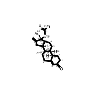 C=C1C[C@H]2[C@@H]3CCC4=CC(=O)CC[C@@H]4[C@H]3CC[C@]2(C)[C@]1(OC(=O)CC)C(C)=O